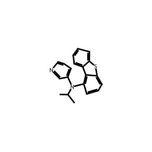 CC(C)N(c1cccnc1)c1cccc2sc3ccccc3c12